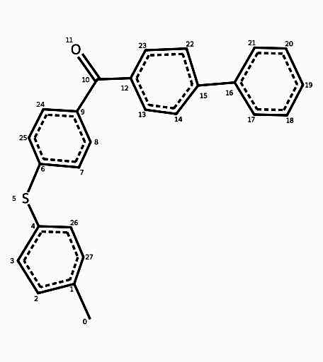 Cc1ccc(Sc2ccc(C(=O)c3ccc(-c4ccccc4)cc3)cc2)cc1